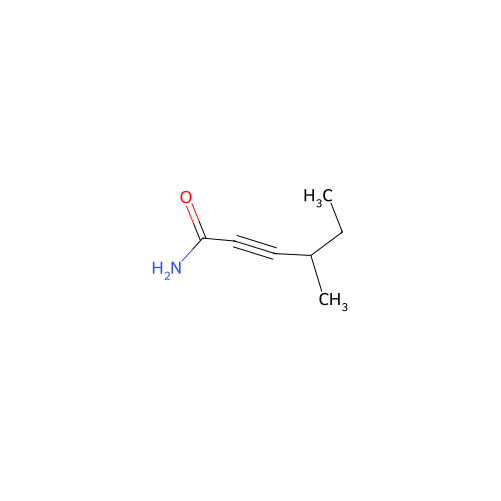 CCC(C)C#CC(N)=O